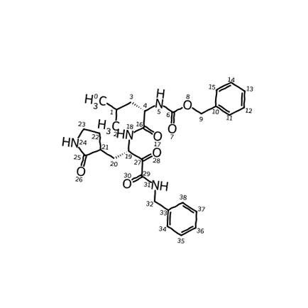 CC(C)C[C@H](NC(=O)OCc1ccccc1)C(=O)N[C@@H](CC1CCNC1=O)C(=O)C(=O)NCc1ccccc1